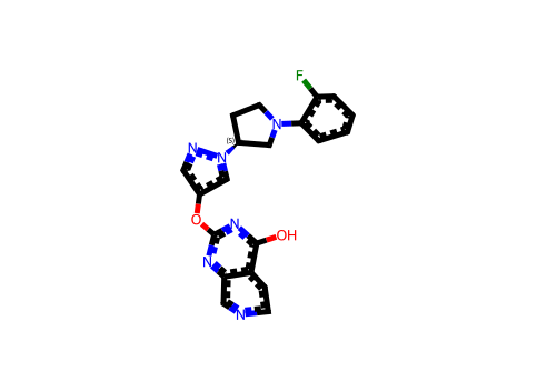 Oc1nc(Oc2cnn([C@H]3CCN(c4ccccc4F)C3)c2)nc2cnccc12